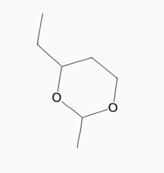 CCC1CCOC(C)O1